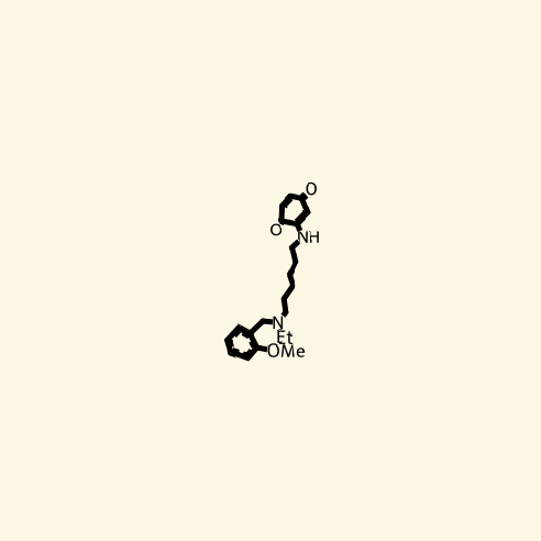 CCN(CCCCCCNC1=CC(=O)C=CC1=O)Cc1ccccc1OC